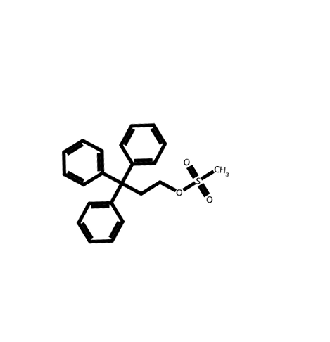 CS(=O)(=O)OCCC(c1ccccc1)(c1ccccc1)c1ccccc1